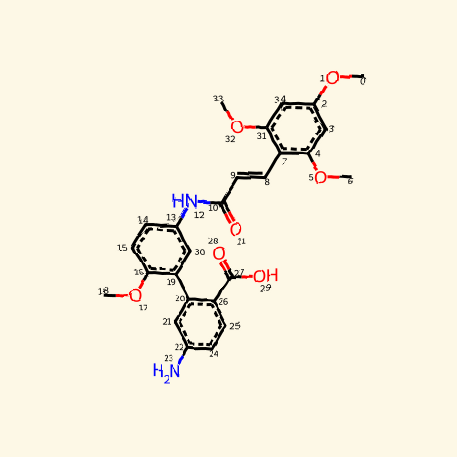 COc1cc(OC)c(C=CC(=O)Nc2ccc(OC)c(-c3cc(N)ccc3C(=O)O)c2)c(OC)c1